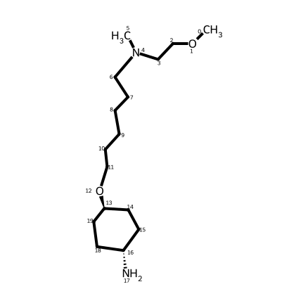 COCCN(C)CCCCCCO[C@H]1CC[C@H](N)CC1